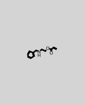 C=CC(=O)OCCNCc1ccccc1